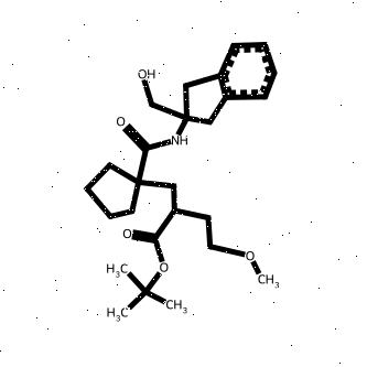 COCCC(CC1(C(=O)NC2(CO)Cc3ccccc3C2)CCCC1)C(=O)OC(C)(C)C